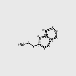 CC(C)(C)CCc1ccc2ccccc2c1